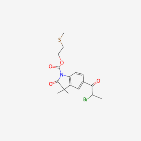 CSCCOC(=O)N1C(=O)C(C)(C)c2cc(C(=O)C(C)Br)ccc21